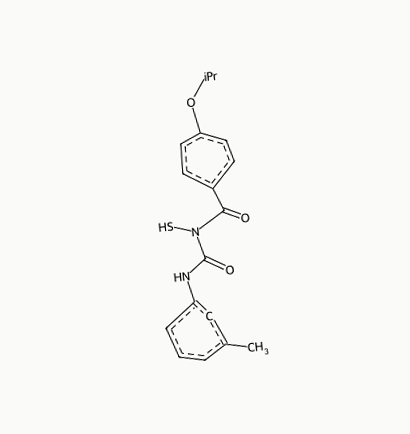 Cc1cccc(NC(=O)N(S)C(=O)c2ccc(OC(C)C)cc2)c1